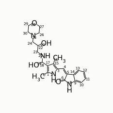 Cc1[nH]c(/C=C2\C(=O)Nc3ccccc32)c(C)c1C(O)NCC(O)CN1CCOCC1